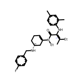 CC/C(C)=C(\Nc1ccc(C)cc1C)C(=O)N(CC)C1=CCC[C@@H](NCc2ccc(F)cc2)C1